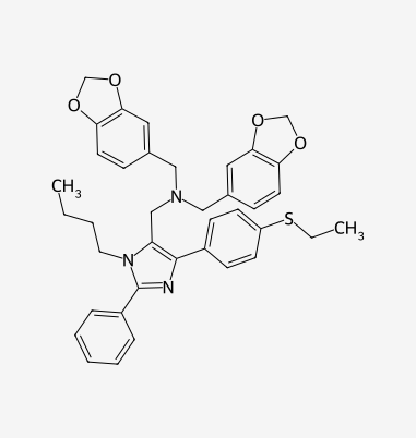 CCCCn1c(-c2ccccc2)nc(-c2ccc(SCC)cc2)c1CN(Cc1ccc2c(c1)OCO2)Cc1ccc2c(c1)OCO2